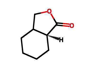 O=C1OCC2CCCC[C@H]12